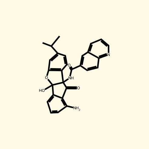 CC(C)c1ccc2c(c1)OC1(O)c3cccc(N)c3C(=O)C21NC(=O)c1ccc2ncccc2c1